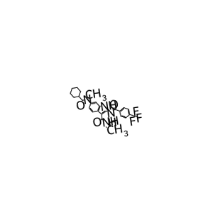 CCNC(=O)c1c(NC(=O)c2ccc(C(F)(F)F)cc2)[nH]c2cc(N(C)C(=O)C3CCCCC3)ccc12